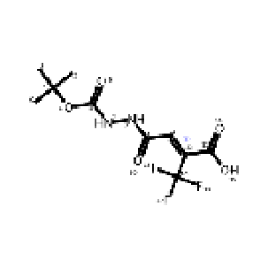 CC(C)(C)OC(=O)NNC(=O)/C=C(/C(=O)O)C(F)(F)F